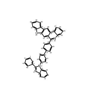 c1ccc(-c2nc3ccccc3n2-c2ccc(-c3ccc(-c4nc5ccccc5c5cc6c(cc45)oc4ccccc46)cc3)cc2)cc1